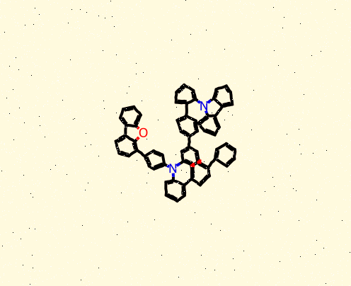 c1ccc(-c2ccc(-c3ccccc3N(c3ccc(-c4cccc5c4oc4ccccc45)cc3)c3cccc(-c4ccc(-c5ccccc5-n5c6ccccc6c6ccccc65)cc4)c3)cc2)cc1